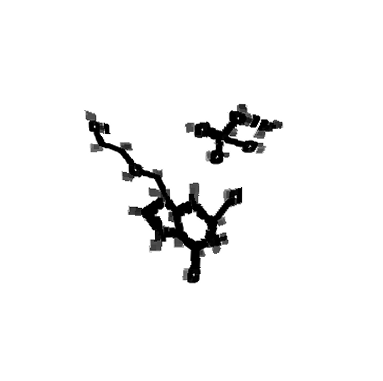 O=P([O-])([O-])O.O=c1[nH]c(Cl)nc2c1ncn2COCCO.[Ba+2]